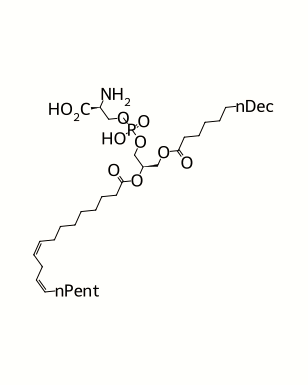 CCCCC/C=C\C/C=C\CCCCCCCC(=O)O[C@H](COC(=O)CCCCCCCCCCCCCCC)COP(=O)(O)OC[C@H](N)C(=O)O